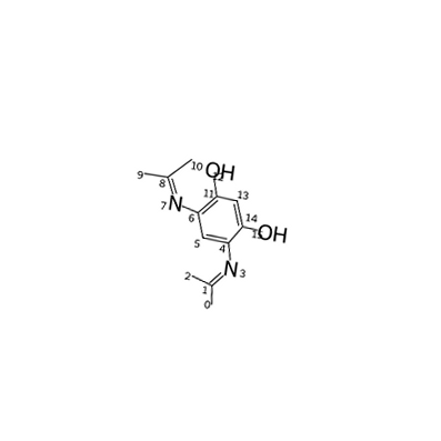 CC(C)=Nc1cc(N=C(C)C)c(O)cc1O